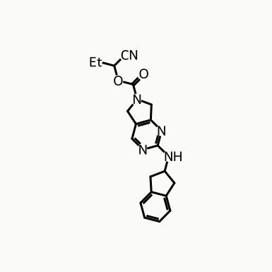 CCC(C#N)OC(=O)N1Cc2cnc(NC3Cc4ccccc4C3)nc2C1